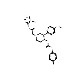 COc1ccc(C2CN(CC(=O)Nc3nncn3C)CCC2NC(=O)Nc2ccc(Cl)cc2)nc1